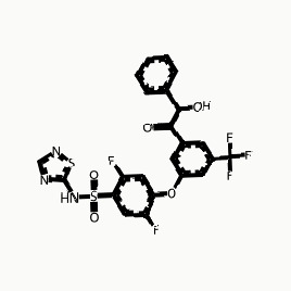 O=C(c1cc(Oc2cc(F)c(S(=O)(=O)Nc3ncns3)cc2F)cc(C(F)(F)F)c1)C(O)c1ccccc1